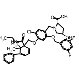 CCNC(=O)C1(COc2cc(OCc3cc(F)cc(F)c3)c(CN3C[C@H](O)C[C@H]3C(=O)O)cc2Cl)C=CC=C(c2ccccc2)C1(C)C